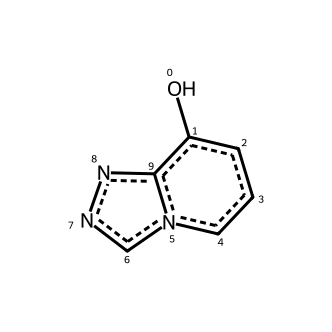 Oc1cccn2cnnc12